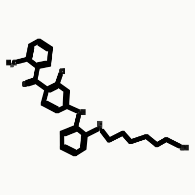 Cc1ccccc1C(=O)c1ccc(Nc2ccccc2NCCCCCCO)cc1Cl